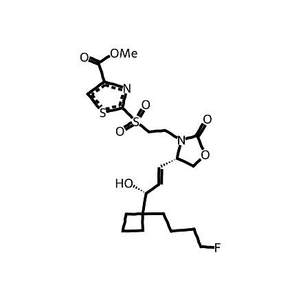 COC(=O)c1csc(S(=O)(=O)CCN2C(=O)OC[C@@H]2/C=C/[C@@H](O)C2(CCCCF)CCC2)n1